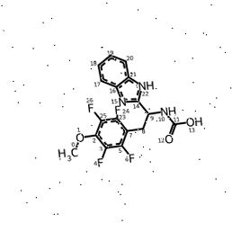 COc1c(F)c(F)c(CC(NC(=O)O)c2nc3ccccc3[nH]2)c(F)c1F